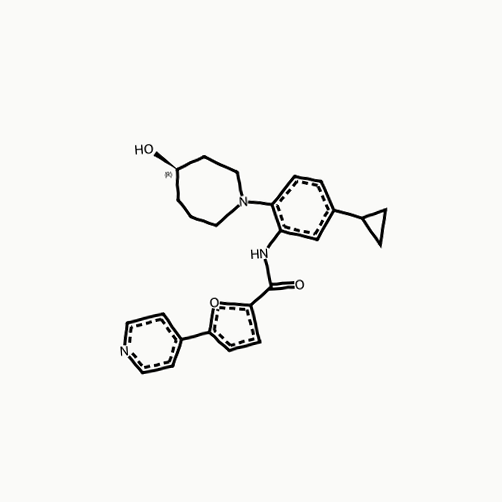 O=C(Nc1cc(C2CC2)ccc1N1CCC[C@@H](O)CC1)c1ccc(-c2ccncc2)o1